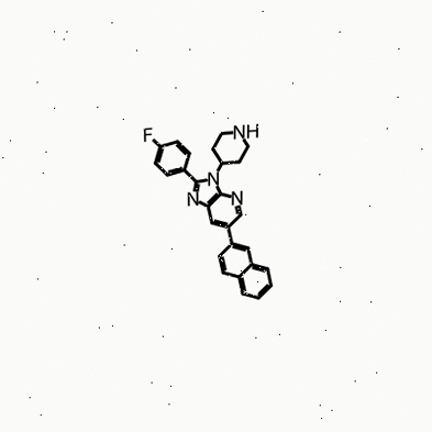 Fc1ccc(-c2nc3cc(-c4ccc5ccccc5c4)cnc3n2C2CCNCC2)cc1